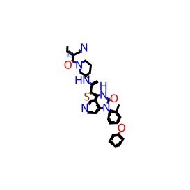 C=C(N[C@@H]1CCCN(C(=O)/C(C#N)=C/C)C1)c1sc2nccc3c2c1NC(=O)N3c1ccc(Oc2ccccc2)cc1C